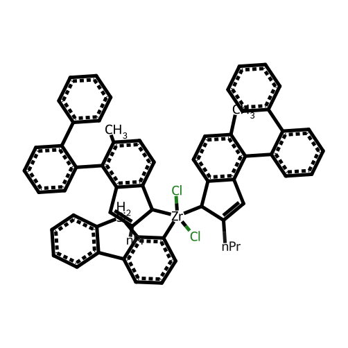 CCCC1=Cc2c(ccc(C)c2-c2ccccc2-c2ccccc2)[CH]1[Zr]([Cl])([Cl])([c]1cccc2c1[SiH2]c1ccccc1-2)[CH]1C(CCC)=Cc2c1ccc(C)c2-c1ccccc1-c1ccccc1